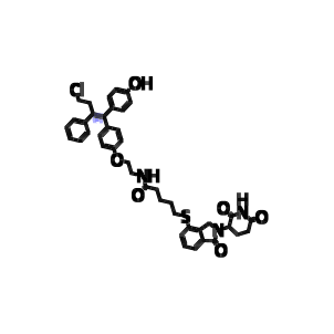 O=C(CCCCSc1cccc2c1CN(C1CCC(=O)NC1=O)C2=O)NCCOc1ccc(/C(=C(/CCCl)c2ccccc2)c2ccc(O)cc2)cc1